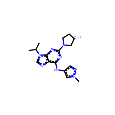 CC(C)n1cnc2c(Nc3cnn(C)c3)nc(N3CC[C@H](F)C3)nc21